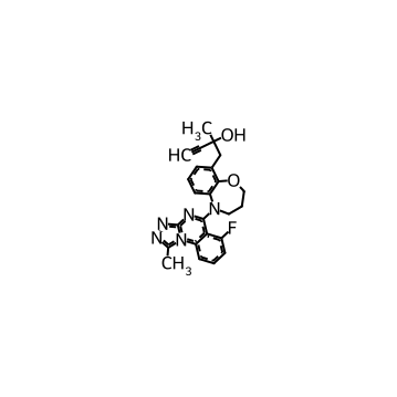 C#CC(C)(O)Cc1cccc2c1OCCCN2c1nc2nnc(C)n2c2cccc(F)c12